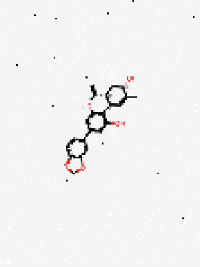 C=C(C)[C@@H]1C[C@H](O)C(C)=C[C@H]1c1c(O)cc(-c2ccc3c(c2)OCO3)cc1O